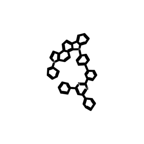 c1ccc(-c2cc(-c3ccccc3)nc(-c3cccc(-c4ccc(-n5c6ccccc6c6ccc7c8ccn(-c9ccccc9)c8ccc7c65)cc4)c3)n2)cc1